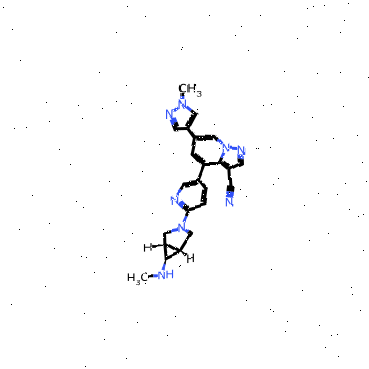 CN[C@H]1[C@@H]2CN(c3ccc(-c4cc(-c5cnn(C)c5)cn5ncc(C#N)c45)cn3)C[C@@H]21